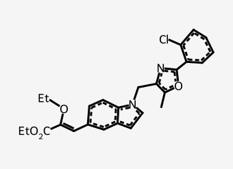 CCOC(=O)C(=Cc1ccc2c(ccn2Cc2nc(-c3ccccc3Cl)oc2C)c1)OCC